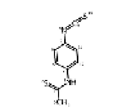 CC(=S)Nc1ccc(N=C=S)cc1